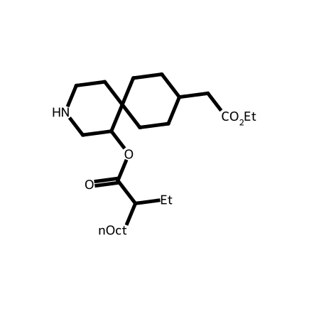 CCCCCCCCC(CC)C(=O)OC1CNCCC12CCC(CC(=O)OCC)CC2